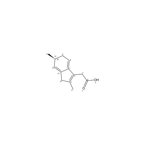 CC1=C(CC(=O)O)C2=CC[C@H](C)C=C2C1